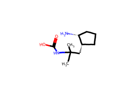 CC(C)(C[C@H]1CCC[C@H]1N)NC(=O)O